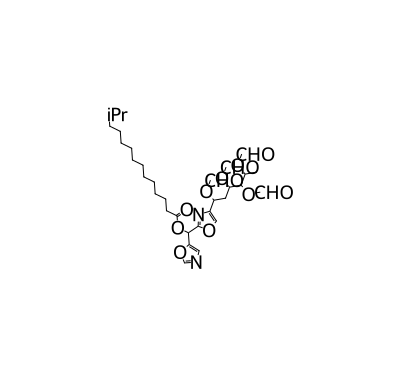 CC(C)CCCCCCCCCCCC(=O)OC(c1cnco1)c1nc(C(CC(OC=O)C(OC=O)C(C)OC=O)OC=O)co1